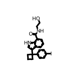 O=C(NCCO)c1cccc2c(C3(c4ccc(I)cc4)CCC3)c[nH]c12